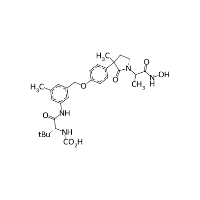 Cc1cc(COc2ccc(C3(C)CCN(C(C)C(=O)NO)C3=O)cc2)cc(NC(=O)[C@H](NC(=O)O)C(C)(C)C)c1